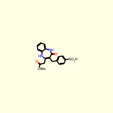 COC(=O)CC1=C(Cc2ccc(S(=O)(=O)O)cc2)C(=O)Nc2ccccc2N1